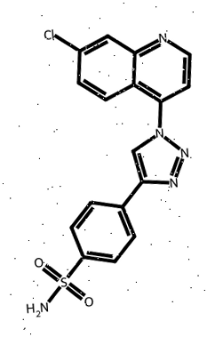 NS(=O)(=O)c1ccc(-c2cn(-c3ccnc4cc(Cl)ccc34)nn2)cc1